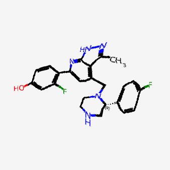 Cc1n[nH]c2nc(-c3ccc(O)cc3F)cc(CN3CCNC[C@H]3c3ccc(F)cc3)c12